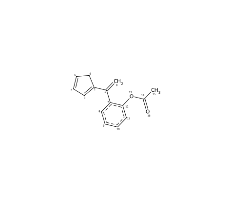 C=C(C1=CC=CC1)c1ccccc1OC(C)=O